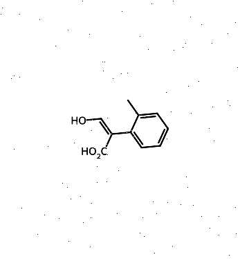 Cc1ccccc1C(=CO)C(=O)O